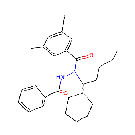 CCCCC(C1CCCCC1)N(NC(=O)c1ccccc1)C(=O)c1cc(C)cc(C)c1